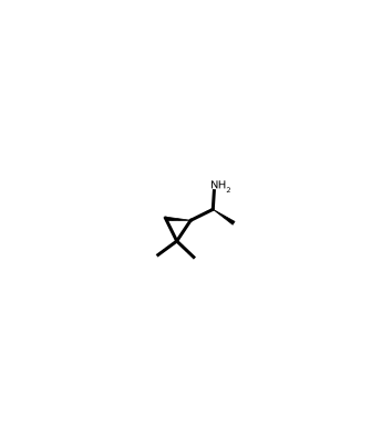 C[C@H](N)[C@@H]1CC1(C)C